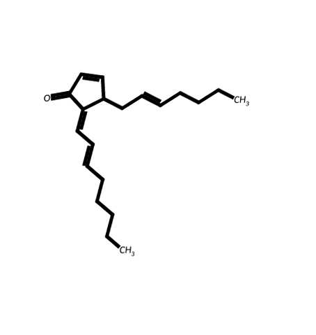 CCCC/C=C/CC1C=CC(=O)/C1=C/C=C/CCCCC